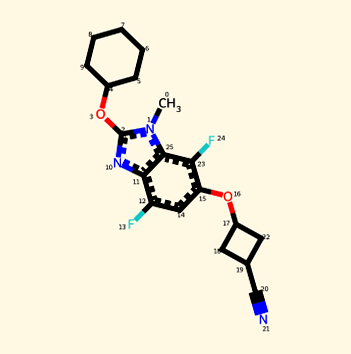 Cn1c(OC2CCCCC2)nc2c(F)cc(OC3CC(C#N)C3)c(F)c21